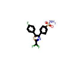 NS(=O)(=O)c1ccc(-c2nc(C(F)F)sc2-c2ccc(F)cc2)cc1